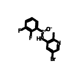 Cc1ncc(Br)cc1N[S+]([O-])c1cccc(F)c1F